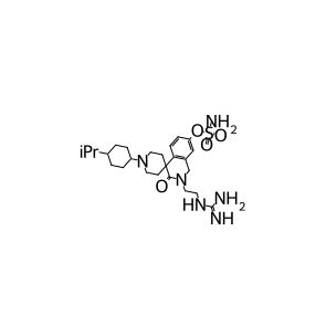 CC(C)C1CCC(N2CCC3(CC2)C(=O)N(CCNC(=N)N)Cc2cc(OS(N)(=O)=O)ccc23)CC1